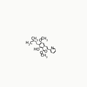 C=C(C)CCc1c(OC)cc(C=Cc2ccccn2)c(C(=O)OC)c1O